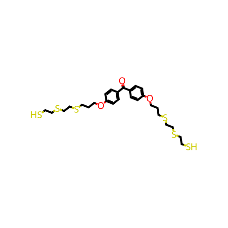 O=C(c1ccc(OCCCSCCSCCS)cc1)c1ccc(OCCCSCCSCCS)cc1